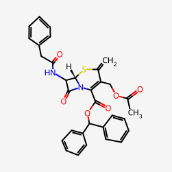 C=C1S[C@H]2C(NC(=O)Cc3ccccc3)C(=O)N2C(C(=O)OC(c2ccccc2)c2ccccc2)=C1COC(C)=O